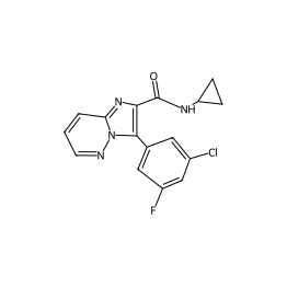 O=C(NC1CC1)c1nc2cccnn2c1-c1cc(F)cc(Cl)c1